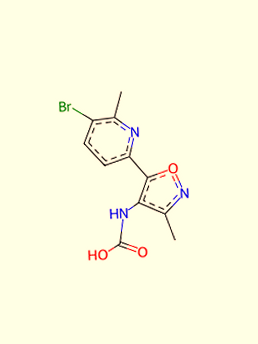 Cc1nc(-c2onc(C)c2NC(=O)O)ccc1Br